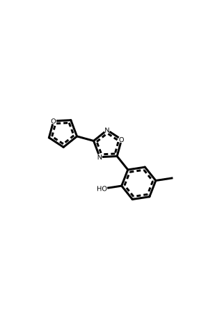 Cc1ccc(O)c(-c2nc(-c3ccoc3)no2)c1